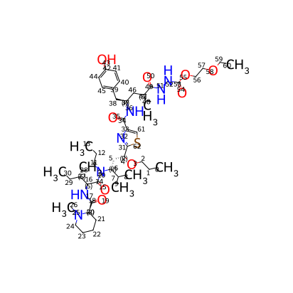 CCCO[C@H](C[C@H](C(C)C)N(CCC)C(=O)[C@@H](NC(=O)[C@H]1CCCCN1C)[C@@H](C)CC)c1nc(C(=O)N[C@@H](Cc2ccc(O)cc2)C[C@H](C)C(=O)NNC(=O)OCCOCC)cs1